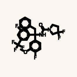 COc1cc(C(Cc2ccccc2)(NC(=O)N2CCC(F)(F)C2)c2cc(F)cc(C(F)(F)F)c2)ccc1F